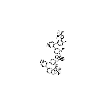 Cc1ccc(-c2ccncc2-c2ccc(CS(=O)(=O)Cc3ccc(-c4cnccc4-c4ccc(C)c(OC(F)(F)F)c4)cc3F)c(F)c2)cc1OC(F)(F)F